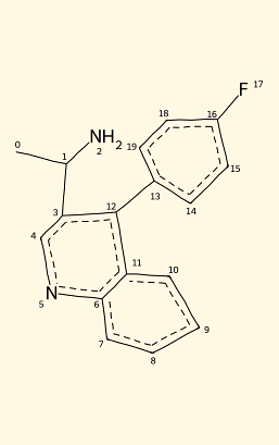 CC(N)c1cnc2ccccc2c1-c1ccc(F)cc1